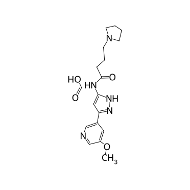 COc1cncc(-c2cc(NC(=O)CCCN3CCCC3)[nH]n2)c1.O=CO